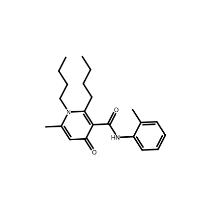 CCCCc1c(C(=O)Nc2ccccc2C)c(=O)cc(C)n1CCCC